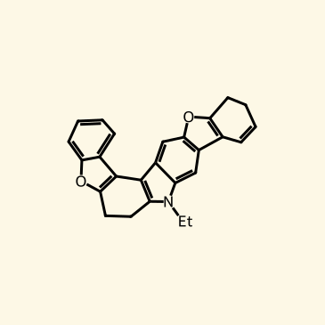 CCn1c2c(c3cc4oc5c(c4cc31)C=CCC5)-c1c(oc3ccccc13)CC2